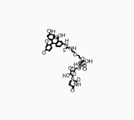 O=C(O)c1cc(NC(=S)NCCOCCOP(=O)(O)OP(=O)(O)OCC2OC(n3ccc(=O)[nH]c3=O)C(O)C2O)ccc1-c1c2ccc(=O)cc-2oc2cc(O)ccc12